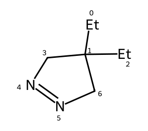 CCC1(CC)CN=NC1